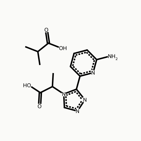 CC(C(=O)O)n1cnnc1-c1cccc(N)n1.CC(C)C(=O)O